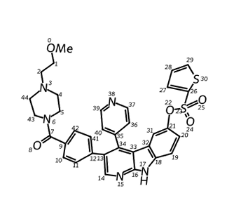 COCCN1CCN(C(=O)c2ccc(-c3cnc4[nH]c5ccc(OS(=O)(=O)c6cccs6)cc5c4c3-c3ccncc3)cc2)CC1